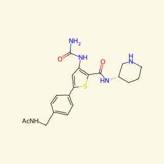 CC(=O)NCc1ccc(-c2cc(NC(N)=O)c(C(=O)N[C@H]3CCCNC3)s2)cc1